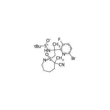 CC(CS1(=O)=NCCCCC1(C)C#N)(N[S+]([O-])C(C)(C)C)c1nc(Br)ccc1F